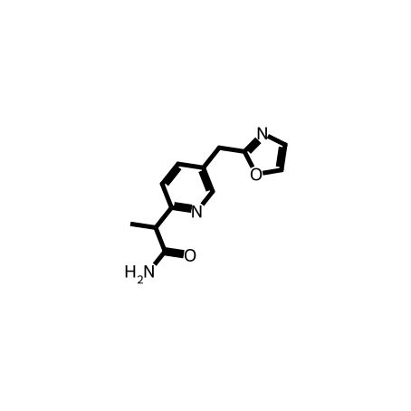 CC(C(N)=O)c1ccc(Cc2ncco2)cn1